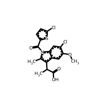 COc1cc2c(C(C)C(=O)O)c(C)n(C(=O)c3ccc(Cl)s3)c2cc1Cl